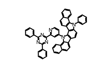 c1ccc(-c2nc(-c3ccccc3)nc(-c3cc(-n4c5c6ccccc6ccc5c5ccc6c(c7ccc8ccccc8c7n6-c6ccccc6)c54)ccn3)n2)cc1